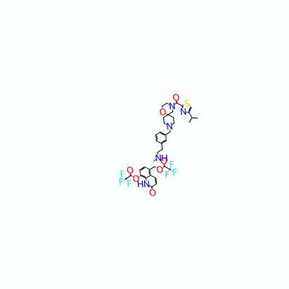 CC(C)c1csc(C(=O)N2CCOC3(CCN(Cc4cccc(CCNC[C@H](OC(=O)C(F)(F)F)c5ccc(OC(=O)C(F)(F)F)c6[nH]c(=O)ccc56)c4)CC3)C2)n1